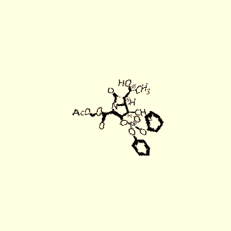 CC(=O)OCOC(=O)C1=C(OP(=O)(Oc2ccccc2)Oc2ccccc2)[C@H](C)[C@@H]2[C@@H]([C@@H](C)O)C(=O)N12